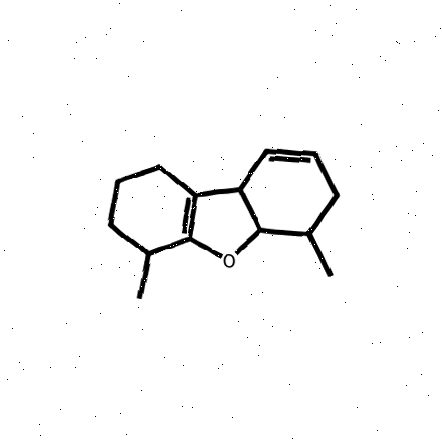 CC1CCCC2=C1OC1C(C)CC=CC21